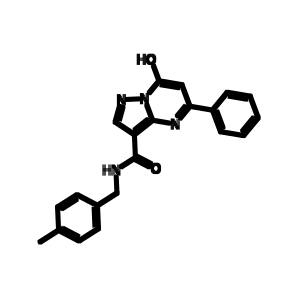 Cc1ccc(CNC(=O)c2cnn3c(O)cc(-c4ccccc4)nc23)cc1